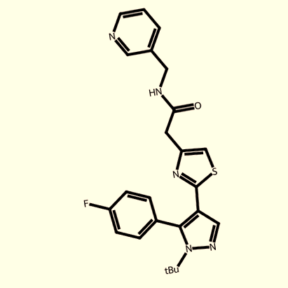 CC(C)(C)n1ncc(-c2nc(CC(=O)NCc3cccnc3)cs2)c1-c1ccc(F)cc1